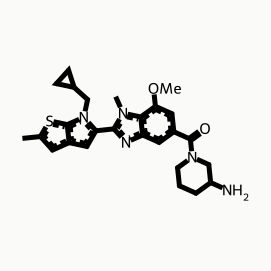 COc1cc(C(=O)N2CCCC(N)C2)cc2nc(-c3cc4cc(C)sc4n3CC3CC3)n(C)c12